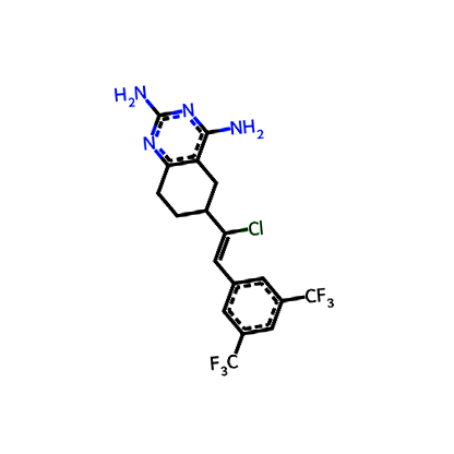 Nc1nc(N)c2c(n1)CCC(C(Cl)=Cc1cc(C(F)(F)F)cc(C(F)(F)F)c1)C2